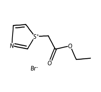 CCOC(=O)C[s+]1ccnc1.[Br-]